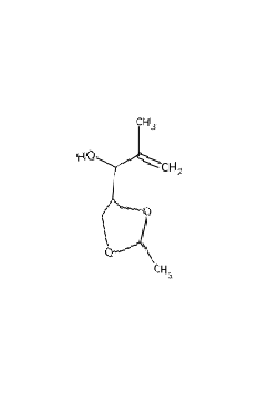 C=C(C)C(O)C1COC(C)O1